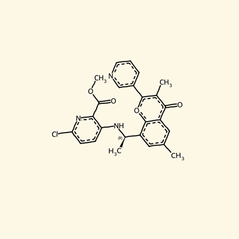 COC(=O)c1nc(Cl)ccc1N[C@H](C)c1cc(C)cc2c(=O)c(C)c(-c3cccnc3)oc12